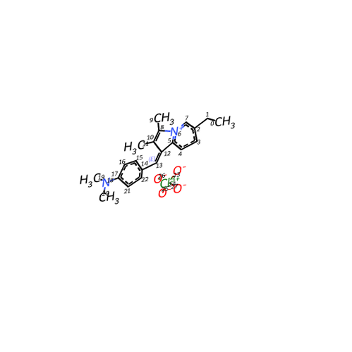 CCc1ccc2[n+](c1)C(C)=C(C)/C2=C\c1ccc(N(C)C)cc1.[O-][Cl+3]([O-])([O-])[O-]